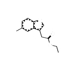 CCOC(=O)Cc1coc2ccc(C)cc12